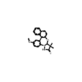 COc1ccc2c(c1)-c1c(ccc3ccccc13)OC1N2NC(=O)C1(C)C